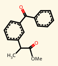 COC(=O)C(C)c1cccc(C(=O)c2ccccc2)c1